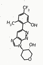 Cc1cc(C(F)(F)F)cc(O)c1-c1cc2ncn([C@@H]3CCOC[C@H]3O)c2nn1